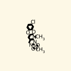 Cn1c(=O)c(Oc2ccc(Cl)cc2)cc2cnc(S(C)(=O)=O)nc21